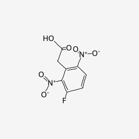 O=C(O)Cc1c([N+](=O)[O-])ccc(F)c1[N+](=O)[O-]